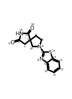 O=C1CC2(CCN(c3nc4ccccc4s3)C2)C(=O)N1